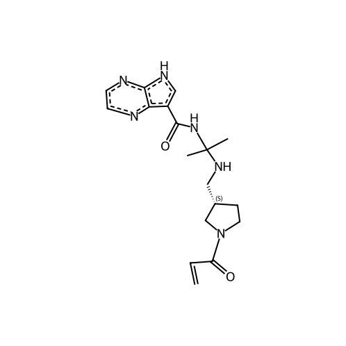 C=CC(=O)N1CC[C@@H](CNC(C)(C)NC(=O)c2c[nH]c3nccnc23)C1